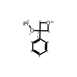 CC(C)OC1(c2cc[c]cc2)COC1